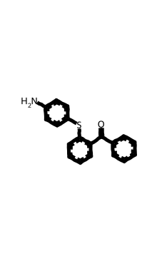 Nc1ccc(Sc2ccccc2C(=O)c2ccccc2)cc1